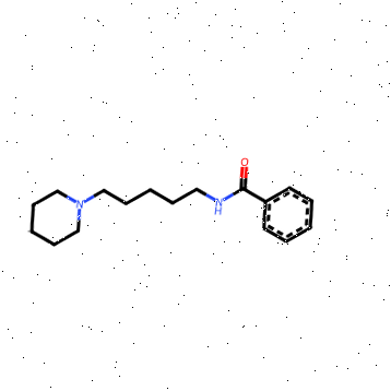 O=C(NCCCCCN1CC[CH]CC1)c1ccccc1